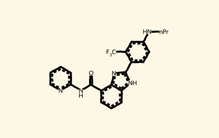 CCCNc1ccc(-c2nc3c(C(=O)Nc4ccccn4)cccc3[nH]2)c(C(F)(F)F)c1